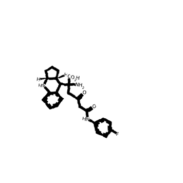 NC(CC(=O)CC(=O)Nc1ccc(F)cc1)(C(=O)O)C1c2ccccc2N[C@@H]2CCC[C@H]12